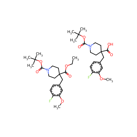 CCOC(=O)C1(Cc2ccc(F)c(OC)c2)CCN(C(=O)OC(C)(C)C)CC1.COc1cc(CC2(C(=O)O)CCN(C(=O)OC(C)(C)C)CC2)ccc1F